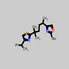 CC(CCC(C)(C)c1nc(C(C)C(C)C)cs1)c1coc(C(C)(C)C)n1